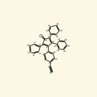 C#Cc1ccc(C2=C(c3ccccc3)C(=O)C(c3ccccc3)=C2c2ccccc2)cc1